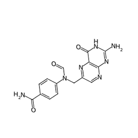 NC(=O)c1ccc(N(C=O)Cc2cnc3nc(N)[nH]c(=O)c3n2)cc1